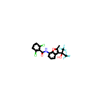 Cc1oc2c(NC(=O)c3c(Cl)cccc3Cl)cccc2c1C(O)(C(F)(F)F)C(F)(F)F